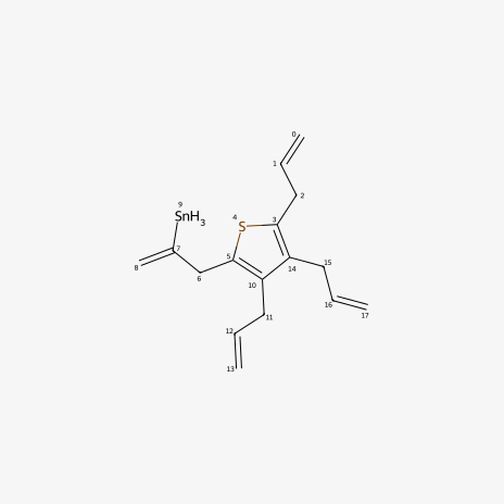 C=CCc1sc(C[C](=C)[SnH3])c(CC=C)c1CC=C